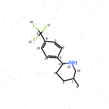 CC1CCC(c2ccc(C(F)(F)F)cc2)NC1